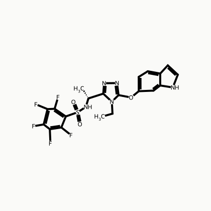 CCn1c(Oc2ccc3cc[nH]c3c2)nnc1[C@@H](C)NS(=O)(=O)c1c(F)c(F)c(F)c(F)c1F